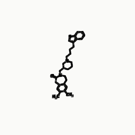 Cc1cc2c(cc1C)CC(=O)N(CC1CCCN(CCCCc3csc4ccccc34)C1)CC2